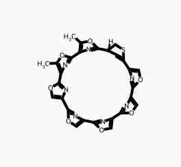 Cc1oc2nc1-c1nc(co1)-c1nc(co1)-c1nc(co1)-c1nc(co1)-c1nc(co1)C1=C[C@@H](CS1)c1nc-2c(C)o1